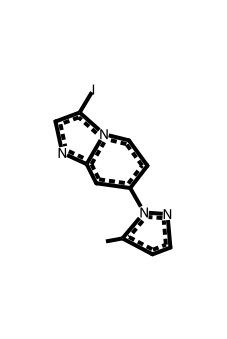 Cc1ccnn1-c1ccn2c(I)cnc2c1